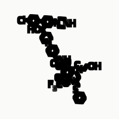 CN(CCO)CCC(CSc1ccccc1)Nc1ccc(S(=O)(=O)NC(=O)c2ccc(N3CCC(C(O)c4cc(N5CCNCC5)ccc4-c4ccc(Cl)cc4)CC3)cc2)cc1S(=O)(=O)C(F)(F)F